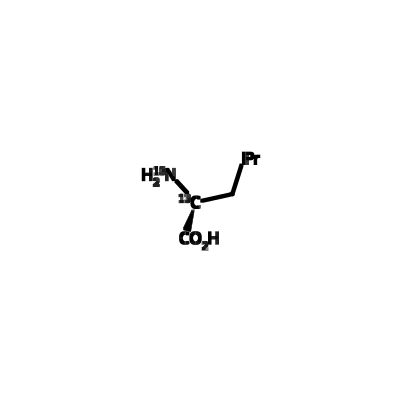 CC(C)C[13C@H]([15NH2])C(=O)O